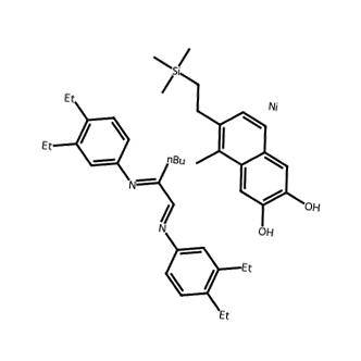 CCCCC(C=Nc1ccc(CC)c(CC)c1)=Nc1ccc(CC)c(CC)c1.Cc1c(CC[Si](C)(C)C)ccc2cc(O)c(O)cc12.[Ni]